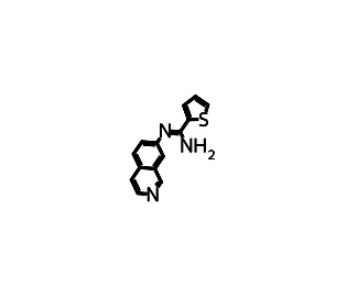 NC(=Nc1ccc2ccncc2c1)c1cccs1